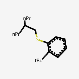 CCCC(CCC)CSc1ccccc1C(C)(C)C